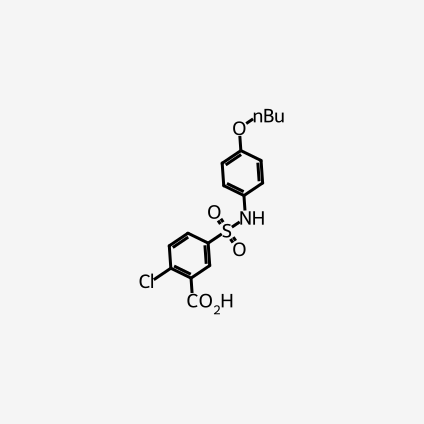 CCCCOc1ccc(NS(=O)(=O)c2ccc(Cl)c(C(=O)O)c2)cc1